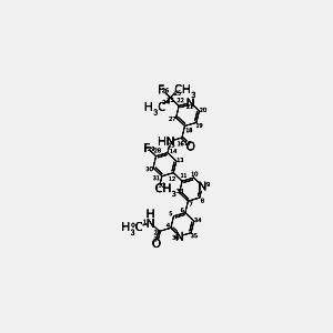 CNC(=O)c1cc(-c2cncc(-c3cc(NC(=O)c4ccnc(C(C)(C)F)c4)c(F)cc3C)c2)ccn1